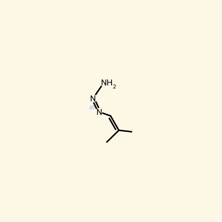 CC(C)=C/N=N\N